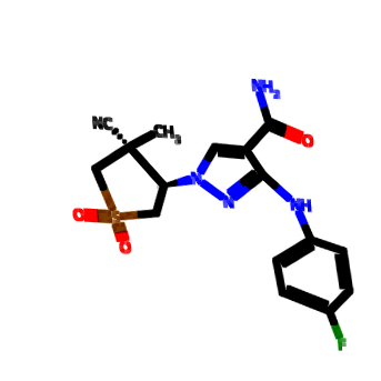 C[C@]1(C#N)CS(=O)(=O)C[C@@H]1n1cc(C(N)=O)c(Nc2ccc(F)cc2)n1